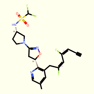 C#C/C=C(F)\C=C(\F)Cc1cc(C)cnc1[C@@H]1CC(N2CC[C@H](NS(=O)(=O)C(F)F)C2)=NO1